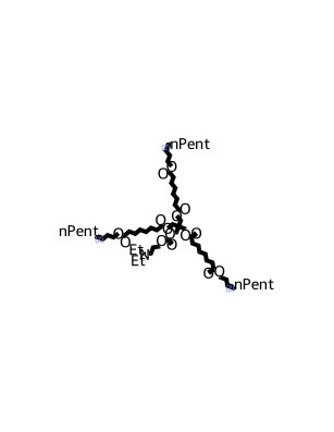 CCCCC/C=C\CCOC(=O)CCCCCCC(=O)OCC(COC(=O)CCCCCCC(=O)OCC/C=C\CCCCC)(COC(=O)CCCCCCC(=O)OCC/C=C\CCCCC)COC(=O)OCCCN(CC)CC